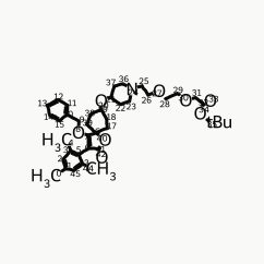 Cc1cc(C)c(C2=C(OCc3ccccc3)C3(CCC(OC4CCN(CCOCCOCC(=O)OC(C)(C)C)CC4)CC3)OC2=O)c(C)c1